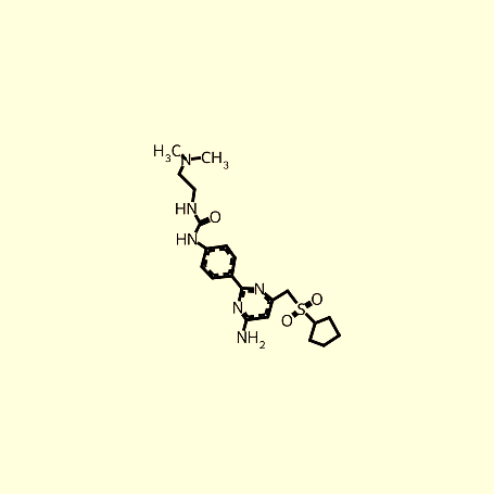 CN(C)CCNC(=O)Nc1ccc(-c2nc(N)cc(CS(=O)(=O)C3CCCC3)n2)cc1